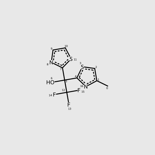 Cc1csc(C(O)(c2nccs2)C(F)(F)F)n1